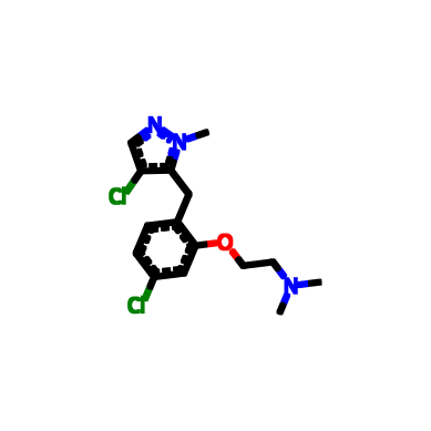 CN(C)CCOc1cc(Cl)ccc1Cc1c(Cl)cnn1C